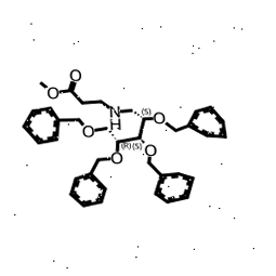 COC(=O)CCNC[C@H](OCc1ccccc1)[C@H](OCc1ccccc1)[C@@H](COCc1ccccc1)OCc1ccccc1